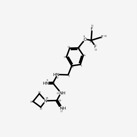 N=C(NCc1ccc(OC(F)(F)F)cc1)NC(=N)N1CCC1